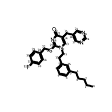 CCCCCc1cccc(CCn2cc(Cc3cncnc3)c(=O)nc2SCc2ccc(F)cc2)c1